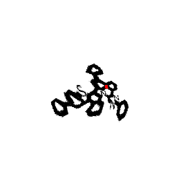 c1ccc(-c2ccc3sc4c(c3c2)c2ccccc2c2c4c3cc(-c4ccccc4)ccc3n2-c2cnc(-c3ccccc3)nc2-c2ccccc2)cc1